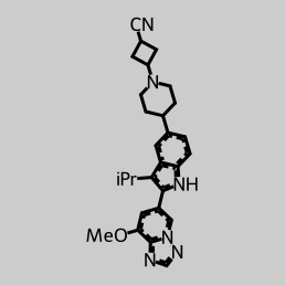 COc1cc(-c2[nH]c3ccc(C4CCN(C5CC(C#N)C5)CC4)cc3c2C(C)C)cn2ncnc12